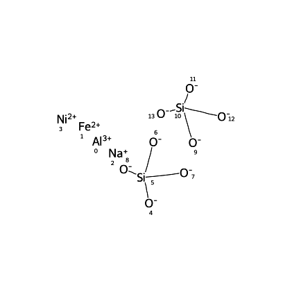 [Al+3].[Fe+2].[Na+].[Ni+2].[O-][Si]([O-])([O-])[O-].[O-][Si]([O-])([O-])[O-]